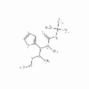 COCC(C)C(c1ccco1)N(C)C(=O)OC(C)(C)C